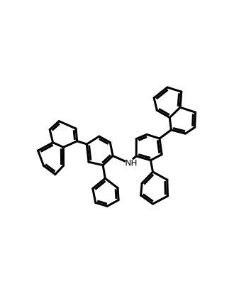 c1ccc(-c2cc(-c3cccc4ccccc34)ccc2Nc2ccc(-c3cccc4ccccc34)cc2-c2ccccc2)cc1